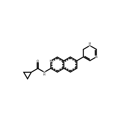 O=C(Nc1cc2ccc(C3=CN=CNC3)cc2cn1)C1CC1